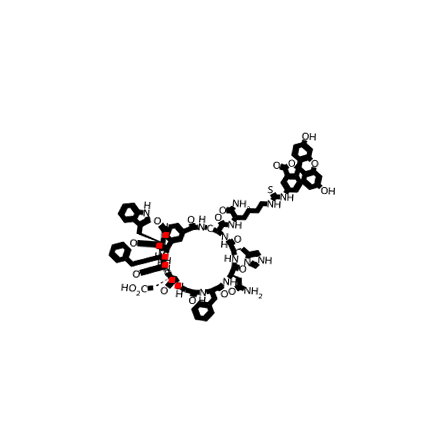 NC(=O)C[C@H]1NC(=O)C(Cc2ccccc2)NC(=O)C2CCCCNC(=O)c3cc(cc(c3)C(=O)N[C@@H](Cc3c[nH]c4ccccc34)C(=O)NC(Cc3ccccc3)C(=O)N[C@@H](CC(=O)O)C(=O)N2)C(=O)NCC(C(=O)NC(CCCCNC(=S)Nc2ccc3c(c2)C(=O)OC32c3ccc(O)cc3Oc3cc(O)ccc32)C(N)=O)NC(=O)[C@H](Cc2c[nH]cn2)NC1=O